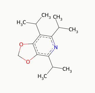 CC(C)c1nc(C(C)C)c(C(C)C)c2c1OCO2